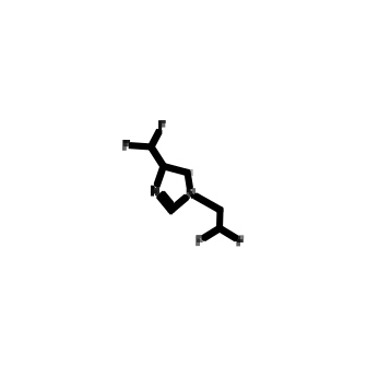 FC(F)CN1[C]C(C(F)F)N=[C]1